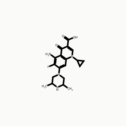 CC1CN(c2cc3c(c(N)c2F)c(=O)c(C(=O)O)cn3C2CC2)CC(C)N1